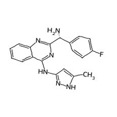 Cc1cc(Nc2nc([C@H](N)c3ccc(F)cc3)nc3ccccc23)n[nH]1